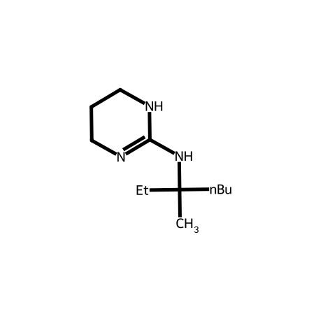 CCCCC(C)(CC)NC1=NCCCN1